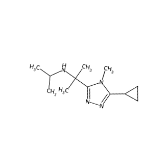 CC(C)NC(C)(C)c1nnc(C2CC2)n1C